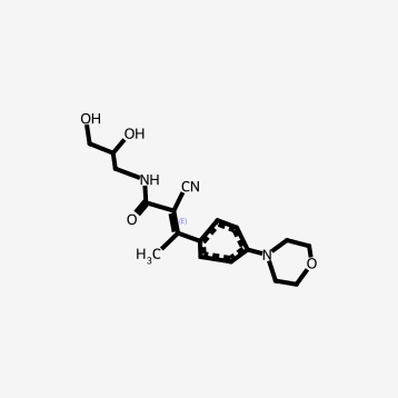 C/C(=C(/C#N)C(=O)NCC(O)CO)c1ccc(N2CCOCC2)cc1